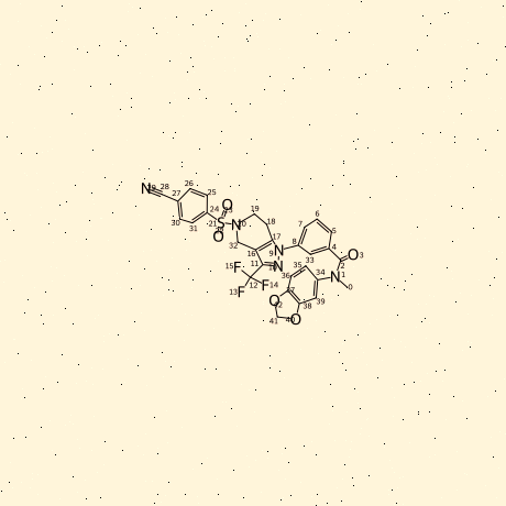 CN(C(=O)c1cccc(-n2nc(C(F)(F)F)c3c2CCN(S(=O)(=O)c2ccc(C#N)cc2)C3)c1)c1ccc2c(c1)OCO2